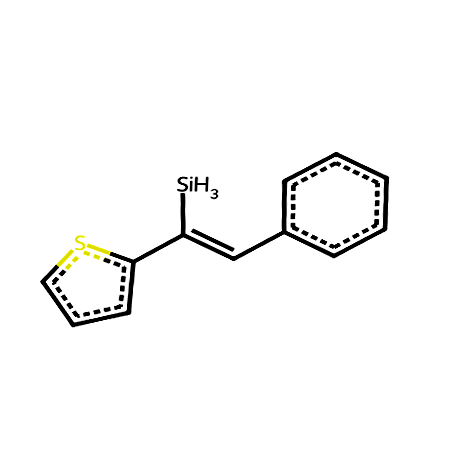 [SiH3]C(=Cc1ccccc1)c1cccs1